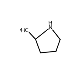 [CH]C1CCCN1